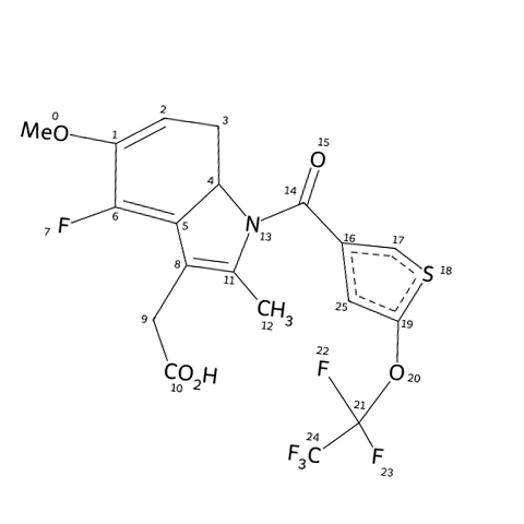 COC1=CCC2C(=C1F)C(CC(=O)O)=C(C)N2C(=O)c1csc(OC(F)(F)C(F)(F)F)c1